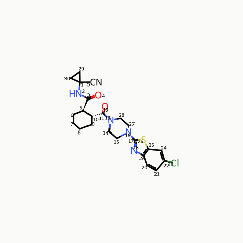 N#CC1(NC(=O)[C@@H]2CCCC[C@H]2C(=O)N2CCN(c3nc4ccc(Cl)cc4s3)CC2)CC1